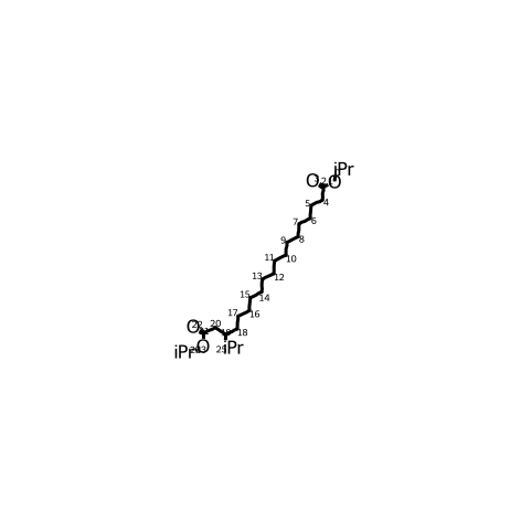 CC(C)OC(=O)CCCCCCCCCCCCCCCC(CC(=O)OC(C)C)C(C)C